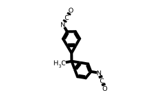 CC1(C2c3ccc(N=C=O)cc32)c2ccc(N=C=O)cc21